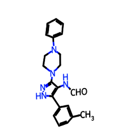 Cc1cccc(-c2[nH]nc(N3CCN(c4ccccc4)CC3)c2NC=O)c1